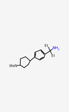 CCC(N)(CC)c1ccc(C2CCC(NC)CC2)cc1